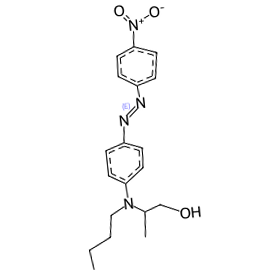 CCCCN(c1ccc(/N=N/c2ccc([N+](=O)[O-])cc2)cc1)C(C)CO